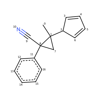 CC1(C2C=CC=C2)CC1(C#N)c1ccccc1